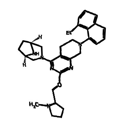 CCc1cccc2cccc(N3CCc4c(nc(OCC5CCCN5C)nc4N4C[C@H]5CC[C@@H](C4)N5)C3)c12